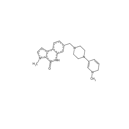 CN1C=C(N2CCN(Cc3ccc4c(c3)[nH]c(=O)c3c4ccn3C)CC2)C=CC1